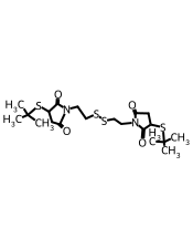 CC(C)(C)SC1CC(=O)N(CCSSCCN2C(=O)CC(SC(C)(C)C)C2=O)C1=O